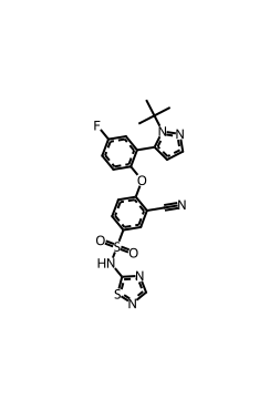 CC(C)(C)n1nccc1-c1cc(F)ccc1Oc1ccc(S(=O)(=O)Nc2ncns2)cc1C#N